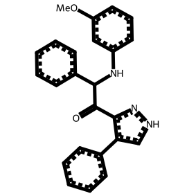 COc1cccc(NC(C(=O)c2n[nH]cc2-c2ccccc2)c2ccccc2)c1